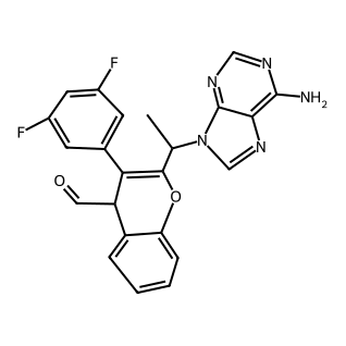 CC(C1=C(c2cc(F)cc(F)c2)C(C=O)c2ccccc2O1)n1cnc2c(N)ncnc21